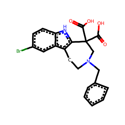 O=C(O)C1(C(=O)O)CN(Cc2ccccc2)CCc2c1[nH]c1ccc(Br)cc21